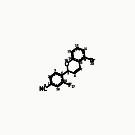 N#Cc1ccc(C2C=Cc3c(Br)cccc3O2)c(F)c1